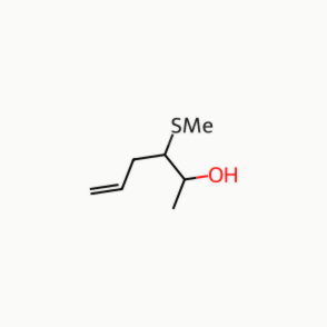 C=CCC(SC)C(C)O